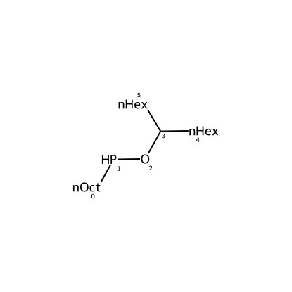 CCCCCCCCPOC(CCCCCC)CCCCCC